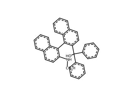 O=C(O)Nc1ccc2ccccc2c1-c1c(C(O)(c2ccccc2)c2ccccc2)ccc2ccccc12